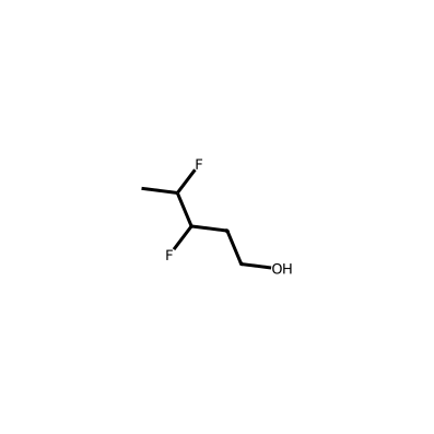 CC(F)C(F)CCO